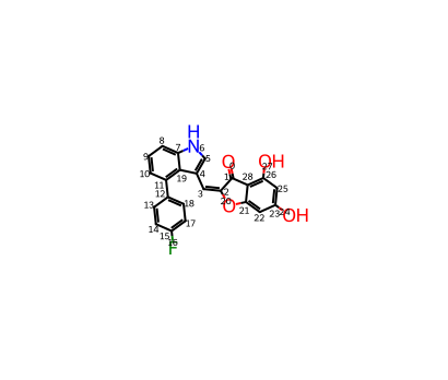 O=C1C(=Cc2c[nH]c3cccc(-c4ccc(F)cc4)c23)Oc2cc(O)cc(O)c21